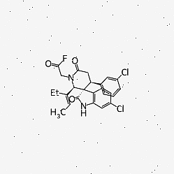 CC=C(CC)[C@H]1N(CC(=O)F)C(=O)C[C@@H](c2cccc(Cl)c2)[C@]12C(=O)Nc1cc(Cl)ccc12